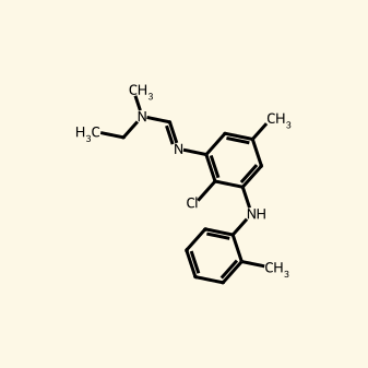 CCN(C)C=Nc1cc(C)cc(Nc2ccccc2C)c1Cl